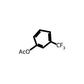 CC(=O)Oc1cccc(C(F)(F)F)c1